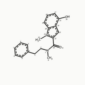 CN(CCc1ccccc1)C(=O)c1cc2c(O)cccc2n1C